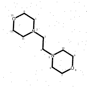 C1CN(CCN2CCOCC2)CCO1